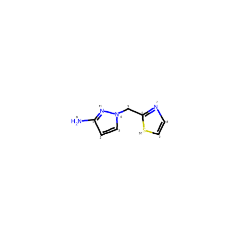 Nc1ccn(Cc2nccs2)n1